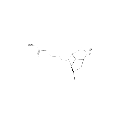 C=CC(=O)OCCOC1C2OS(=O)(=O)C3CC1(C)OC23